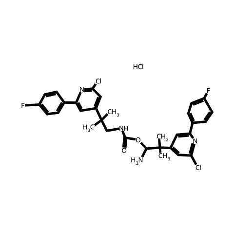 CC(C)(CNC(=O)OC(N)C(C)(C)c1cc(Cl)nc(-c2ccc(F)cc2)c1)c1cc(Cl)nc(-c2ccc(F)cc2)c1.Cl